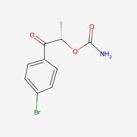 C[C@H](OC(N)=O)C(=O)c1ccc(Br)cc1